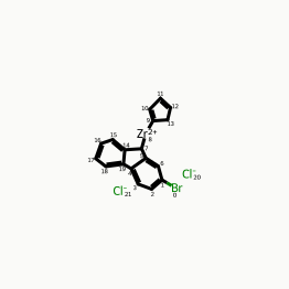 Brc1ccc2c(c1)[CH]([Zr+2][C]1=CC=CC1)c1ccccc1-2.[Cl-].[Cl-]